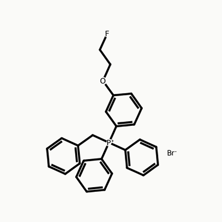 FCCOc1cccc([P+](Cc2ccccc2)(c2ccccc2)c2ccccc2)c1.[Br-]